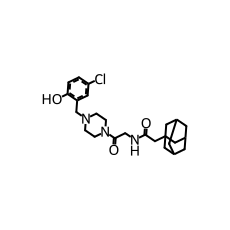 O=C(CC12CC3CC(CC(C3)C1)C2)NCC(=O)N1CCN(Cc2cc(Cl)ccc2O)CC1